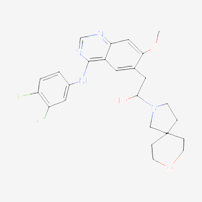 COc1cc2ncnc(Nc3ccc(F)c(Cl)c3)c2cc1CC(O)N1CCC2(CCOCC2)C1